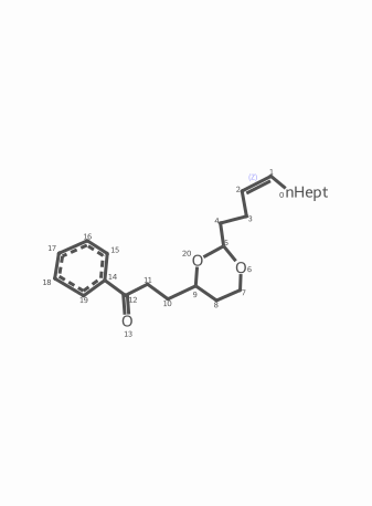 CCCCCCC/C=C\CCC1OCCC(CCC(=O)c2ccccc2)O1